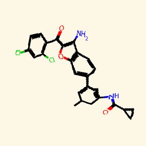 CC1C=C(c2ccc3c(N)c(C(=O)c4ccc(Cl)cc4Cl)oc3c2)C=C(NC(=O)C2CC2)C1